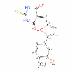 O=C1NC(=S)NC(=O)C1=Cc1ccc(-c2ccc(C(=O)O)c(O)c2)o1